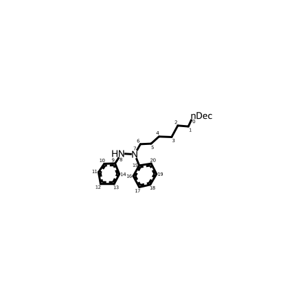 CCCCCCCCCCCCCCCCN(Nc1ccccc1)c1ccccc1